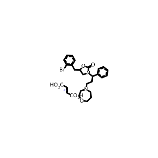 O=C(O)/C=C/C(=O)O.O=C1OC(Cc2ccccc2Br)CN1C(CCN1CCCOCC1)c1ccccc1